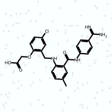 Cc1ccc(NCc2cc(Cl)ccc2OCC(=O)O)c(C(=O)Nc2ccc(C(=N)N)cc2)c1